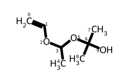 C=COC(C)OC(C)(C)O